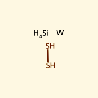 SS.[SiH4].[W]